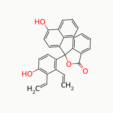 C=Cc1c(O)ccc(C2(c3ccc(O)c4ccccc34)OC(=O)c3ccccc32)c1C=C